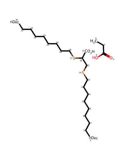 CCC(=O)O.CCCCCCCCCCCCCCCCCCSCC(SCCCCCCCCCCCCCCCCCC)C(=O)O